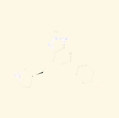 Cl.Oc1ccc(-c2cc(OC[C@H]3CCNC3)c3nn[nH]c3c2)cc1